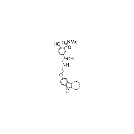 CNS(=O)(=O)c1cc([C@@H](O)CNCCOc2ccc3[nH]c4c(c3c2)CCCCC4)ccc1O